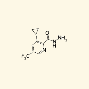 NNC(=O)c1ncc(C(F)(F)F)cc1C1CC1